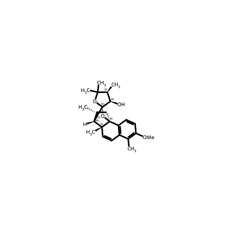 COc1ccc2c(c1C)C=C[C@]1(C)[C@@H]3CC[C@]21O[C@@]1(OC(C)(C)[C@@H](C)[C@H]1O)[C@H]3C